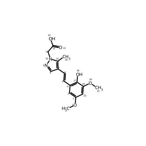 COc1cc(C=Cc2cnn(CC(=O)O)c2C)c(O)c(OC)c1